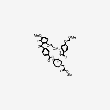 COCOc1ccc(C(=O)N[C@@H]2CN(OC(=O)OC(C)(C)C)CCC[C@H]2OC(=O)c2ccc(C(=O)c3c(OCOC)ccc(OC)c3F)cc2)cc1